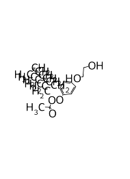 C=C.C=C.C=C.C=C.C=C.C=C.CC(=O)OOc1ccccc1.OCCO